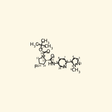 Cn1nccc1-c1ccc(NC(=O)[C@H]2C[C@H](F)CN2C(=O)OC(C)(C)C)cn1